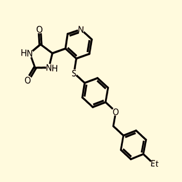 CCc1ccc(COc2ccc(Sc3ccncc3C3NC(=O)NC3=O)cc2)cc1